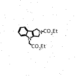 CCOC(=O)Cn1c2c(c3ccccc31)CN(C(=O)OCC)C2